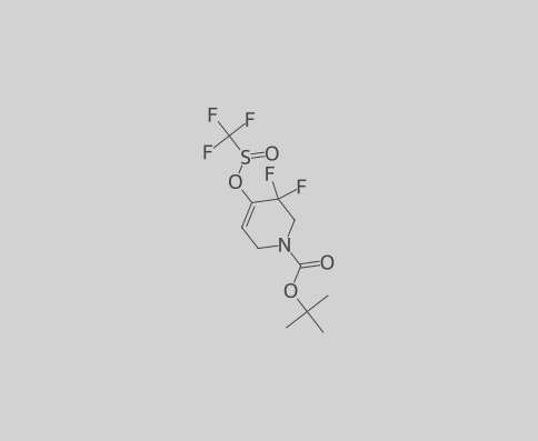 CC(C)(C)OC(=O)N1CC=C(OS(=O)C(F)(F)F)C(F)(F)C1